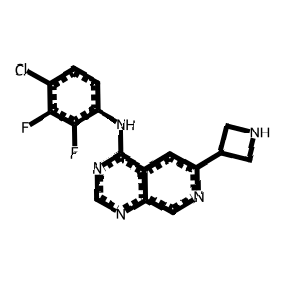 Fc1c(Cl)ccc(Nc2ncnc3cnc(C4CNC4)cc23)c1F